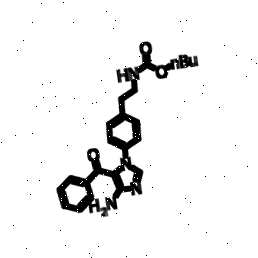 CCCCOC(=O)NCCc1ccc(-n2cnc(N)c2C(=O)c2ccccc2)cc1